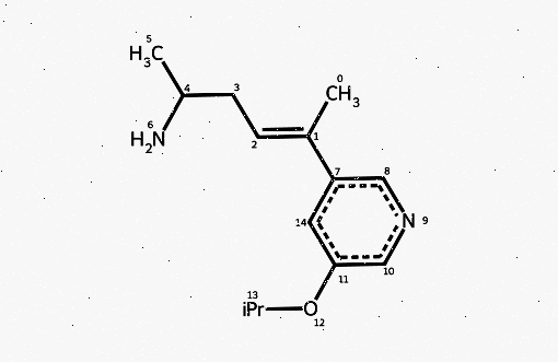 CC(=CCC(C)N)c1cncc(OC(C)C)c1